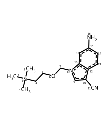 C[Si](C)(C)CCOCn1cc(C#N)c2ccc(N)cc21